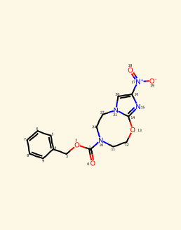 O=C(OCc1ccccc1)N1CCOc2nc([N+](=O)[O-])cn2CC1